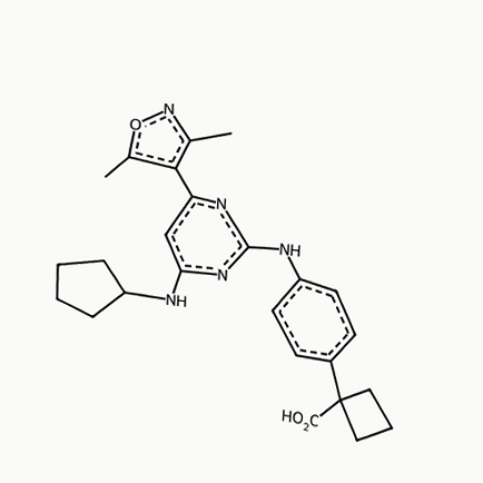 Cc1noc(C)c1-c1cc(NC2CCCC2)nc(Nc2ccc(C3(C(=O)O)CCC3)cc2)n1